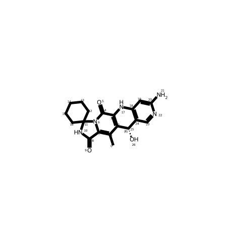 Cc1c2c(c(=O)n3c1C(=O)NC31CCCCC1)Nc1cc(N)ncc1[C@@H]2O